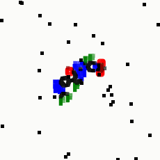 COc1nc(N[C@@H]2CCN(S(C)(=O)=O)CC2(F)F)nn2cc(F)c(-c3ccc4nnn(C(CF)CF)c4c3)c12